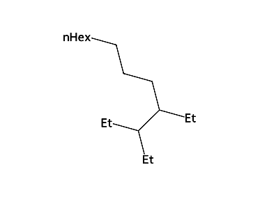 CCCCCCCCCC(CC)C(CC)CC